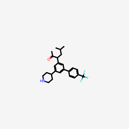 CC(=O)C(CC(C)C)c1cc(-c2ccc(C(F)(F)F)cc2)cc(C2CCNCC2)c1